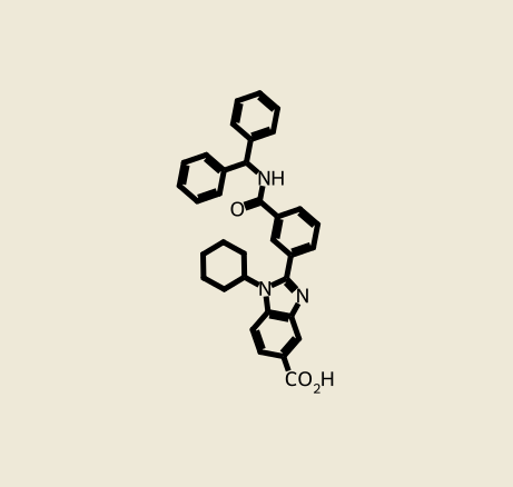 O=C(O)c1ccc2c(c1)nc(-c1cccc(C(=O)NC(c3ccccc3)c3ccccc3)c1)n2C1CCCCC1